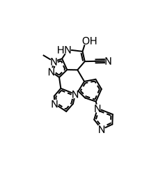 Cn1nc(-c2cnccn2)c2c1NC(O)=C(C#N)C2c1ccc(-n2ccnc2)cc1